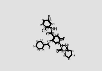 CC(Oc1cc(-n2nc3n(c2=O)CCCC3)c(F)cc1C(=O)Nc1cc(F)ccc1Cl)C1CCCCC1